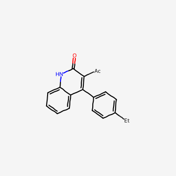 CCc1ccc(-c2c(C(C)=O)c(=O)[nH]c3ccccc23)cc1